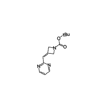 CC(C)(C)OC(=O)N1CC(=Cc2ncccn2)C1